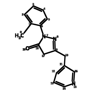 Cc1ccccc1N1N=C(Cc2cccnc2)CC1=O